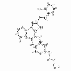 Cc1cccc(-c2nc(COc3ccccc3F)[nH]c2-c2ccc3ncc(OCCN)nc3c2)n1